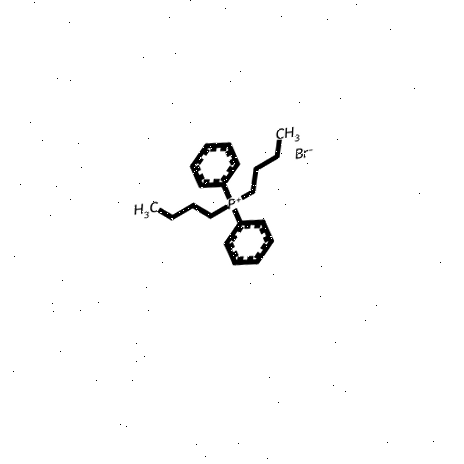 CCCC[P+](CCCC)(c1ccccc1)c1ccccc1.[Br-]